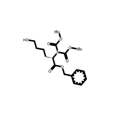 CC(C)(C)OC(=O)N(C(=O)OC(C)(C)C)[C@@H](CCCCO)C(=O)OCc1ccccc1